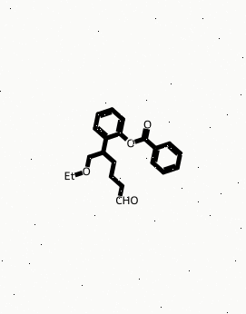 CCOCC(CCCC=O)c1ccccc1OC(=O)c1ccccc1